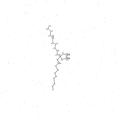 CCCCCCCCOCC(CO)(CO)CCCCCOCCCC